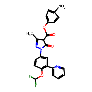 CC1=NN(c2ccc(OC(F)F)c(-c3ccccn3)c2)C(=O)C1C(=O)Oc1ccc([N+](=O)[O-])cc1